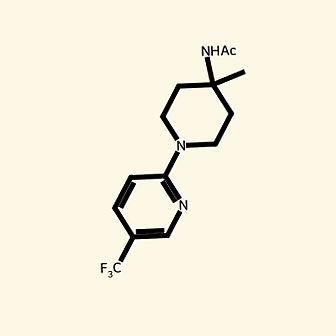 CC(=O)NC1(C)CCN(c2ccc(C(F)(F)F)cn2)CC1